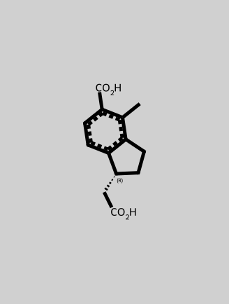 Cc1c(C(=O)O)ccc2c1CC[C@@H]2CC(=O)O